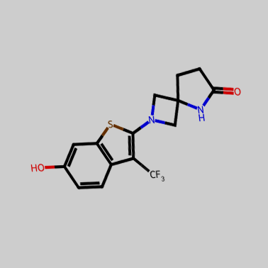 O=C1CCC2(CN(c3sc4cc(O)ccc4c3C(F)(F)F)C2)N1